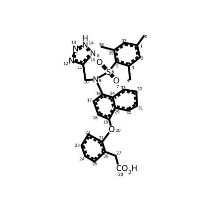 Cc1cc(C)c(S(=O)(=O)N(Cc2nn[nH]n2)c2ccc(Oc3ccccc3CC(=O)O)c3ccccc23)c(C)c1